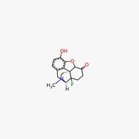 CN1CC[C@]23c4c5ccc(O)c4OC2C(=O)CCC3(F)[C@H]1C5